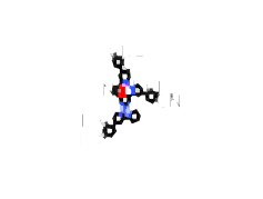 N#Cc1ccc(-c2ccc(-n3c4ccccc4c4cc(-c5ccc(C(F)(F)F)cc5C(F)(F)F)ccc43)c(-c3cc(-n4c5ccccc5c5cc(-c6ccc(C(F)(F)F)cc6C(F)(F)F)ccc54)ccc3C#N)c2)c(C(F)(F)F)c1